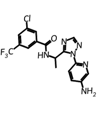 CC(NC(=O)c1cc(Cl)cc(C(F)(F)F)c1)c1ncnn1-c1ccc(N)cn1